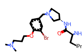 CC(C)C[C@H](N)C(=O)N[C@H]1CCN(Cc2ccc(OCCCN(C)C)c(Br)c2)C1